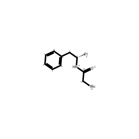 CC[C@@H](Cc1ccccc1)NC(=O)CC(C)(C)C